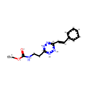 CC(C)(C)OC(=O)NCCc1nnc(/C=C/c2ccccc2)nn1